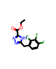 CCOC(=O)c1nnc(Cc2ccc(F)c(F)c2F)[nH]1